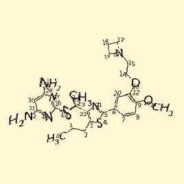 CCCc1sc(-c2ccc(OC)c(OCCN3CCC3)c2)nc1[C@H](C)Sc1nc(N)cc(N)n1